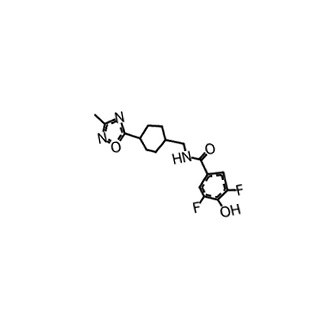 Cc1noc(C2CCC(CNC(=O)c3cc(F)c(O)c(F)c3)CC2)n1